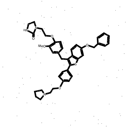 COc1cc(Cc2c(-c3ccc(OCCN4CCCC4)cc3)sc3cc(OCc4ccccc4)ccc23)ccc1OCCN1CCNC1=O